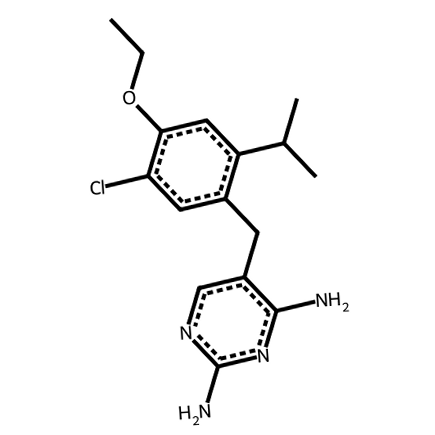 CCOc1cc(C(C)C)c(Cc2cnc(N)nc2N)cc1Cl